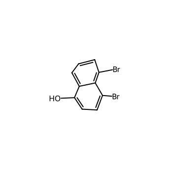 Oc1ccc(Br)c2c(Br)cccc12